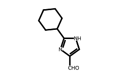 O=Cc1c[nH]c(C2CCCCC2)n1